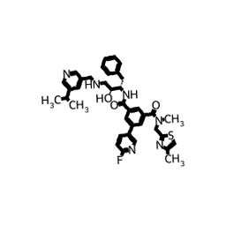 Cc1csc(CN(C)C(=O)c2cc(C(=O)N[C@@H](Cc3ccccc3)[C@H](O)CNCc3cncc(C(C)C)c3)cc(-c3ccc(F)nc3)c2)n1